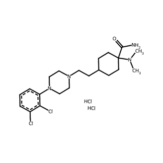 CN(C)C1(C(N)=O)CCC(CCN2CCN(c3cccc(Cl)c3Cl)CC2)CC1.Cl.Cl